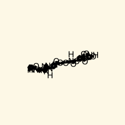 Cc1cccc(C(=O)NC2CC(n3cnc4c(NC5CCN(C(=O)COCCOCCNC(=O)COc6ccc7c(c6)C(=O)N([C@H]6CCC(=O)NC6=O)C7=O)CC5)ncnc43)C2)n1